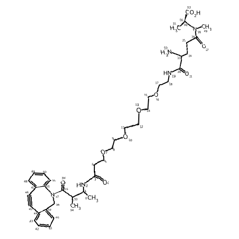 CC(NC(=O)CCOCCOCCOCCOCCNC(=O)C(N)CCC(=O)N(C)[C@@H](C)C(=O)O)C(C)C(=O)N1Cc2ccccc2C#Cc2ccccc21